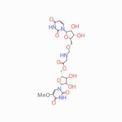 COc1cn([C@@H]2O[C@H](COC(=O)CNCOC[C@H]3O[C@@H](n4ccc(=O)[nH]c4=O)[C@H](O)[C@@H]3O)[C@@H](O)[C@H]2O)c(=O)[nH]c1=O